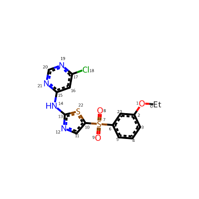 CCOc1cccc(S(=O)(=O)c2cnc(Nc3cc(Cl)ncn3)s2)c1